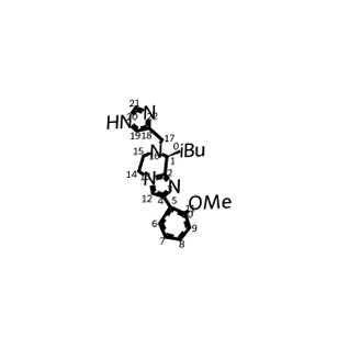 CCC(C)[C@H]1c2nc(-c3ccccc3OC)cn2CCN1Cc1c[nH]cn1